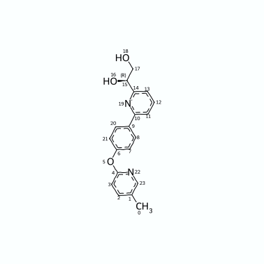 Cc1ccc(Oc2ccc(-c3cccc([C@@H](O)CO)n3)cc2)nc1